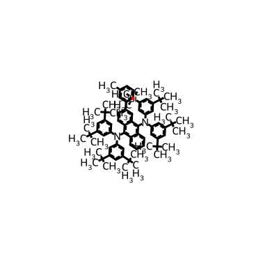 Cc1cccc(-c2ccc3c(N(c4cc(C(C)(C)C)cc(C(C)(C)C)c4)c4cc(C(C)(C)C)cc(C(C)(C)C)c4)c4ccccc4c(N(c4cc(C(C)(C)C)cc(C(C)(C)C)c4)c4cc(C(C)(C)C)cc([Si](C)(C)C)c4)c3c2)c1